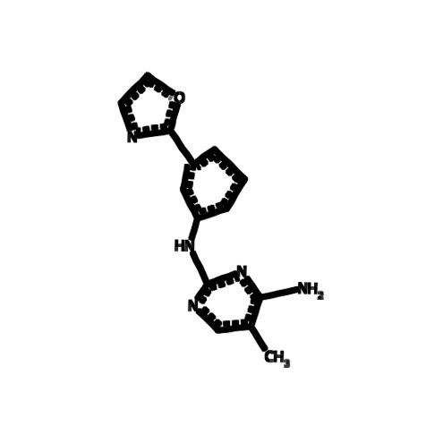 Cc1cnc(Nc2cccc(-c3ncco3)c2)nc1N